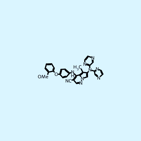 COc1ccccc1Oc1ccc(Nc2c(C#N)cnn3cc(N(c4cnccn4)c4cnccn4)c(C)c23)cc1